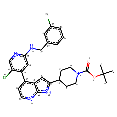 CC(C)(C)OC(=O)N1CCC(c2cc3c(-c4cc(NCc5cccc(F)c5)ncc4Cl)ccnc3[nH]2)CC1